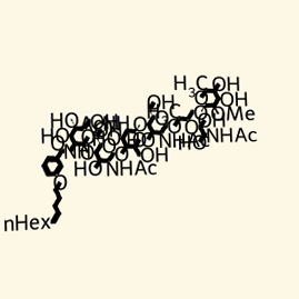 CCCCCC/C=C\CCCOc1cccc(C(=O)NC2[C@H](O[C@H]3C(O)C(NC(C)=O)[C@H](OC4C(CO)O[C@@H](O[C@H]5C(O)C(NC(C)=O)C(OC(C)C(CO[C@@H]6OC(C)C(O)[C@H](O)[C@H]6OC)OC(O)C(O)NC(C)=O)O[C@H]5CO)[C@@H](NC(C)=O)[C@H]4O)O[C@H]3CO)OC(CO)[C@@H](O)[C@@H]2O)c1